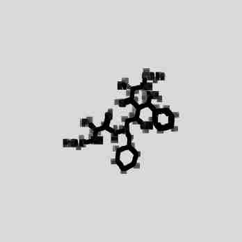 CCOC(=O)N[C@H](C(=O)NN(CC1CCCCC1)C[C@H](O)C(C(=O)[C@@H](NC(=O)OCC)C(C)C)C(N)c1ccccc1)C(C)C